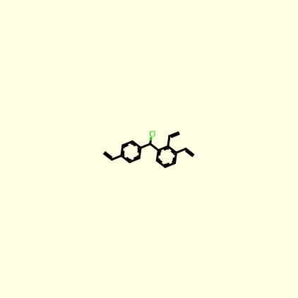 C=Cc1ccc(C(Cl)c2cccc(C=C)c2C=C)cc1